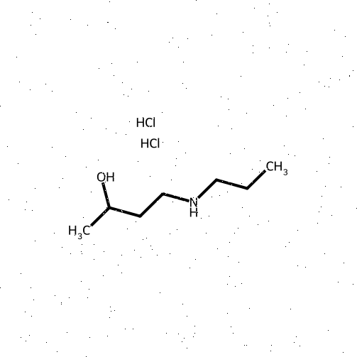 CCCNCCC(C)O.Cl.Cl